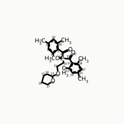 Cc1cc(C)c(C(=O)P(=O)(CCOC2CCCCO2)C(=O)c2c(C)cc(C)cc2C)c(C)c1